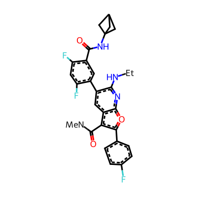 CCNc1nc2oc(-c3ccc(F)cc3)c(C(=O)NC)c2cc1-c1cc(C(=O)NC23CC(C2)C3)c(F)cc1F